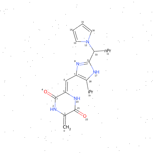 C=c1[nH]c(=O)c(=Cc2nc(C(CCC)n3cccc3)[nH]c2C(C)C)[nH]c1=O